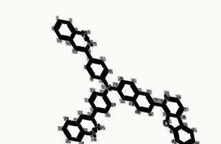 c1ccc2nnc(-c3ccc(N(c4ccc(-c5cc6ccccc6nn5)cc4)c4ccc5cc(-c6nccc7c6oc6ccccc67)ccc5c4)cc3)cc2c1